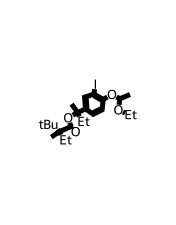 CCOC(C)Oc1ccc(C(C)(CC)OC(=O)C(C)(CC)C(C)(C)C)cc1I